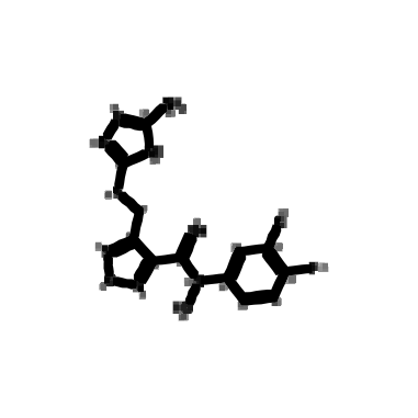 N=C(c1nonc1CSc1nnc(N)[nH]1)N(O)c1ccc(F)c(Cl)c1